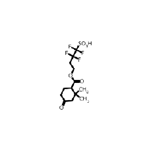 CC1(C)CC(=O)CCC1C(=O)OCCC(F)(F)C(F)(F)S(=O)(=O)O